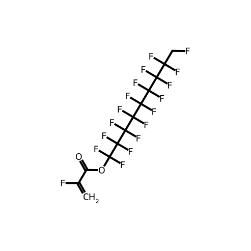 C=C(F)C(=O)OC(F)(F)C(F)(F)C(F)(F)C(F)(F)C(F)(F)C(F)(F)C(F)(F)C(F)(F)CF